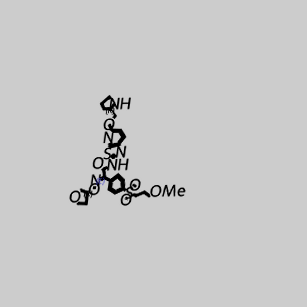 COCCCS(=O)(=O)c1ccc(/C(=N\O[C@@H]2CCOC2)C(=O)Nc2nc3ccc(OC[C@H]4CCCN4)nc3s2)cc1